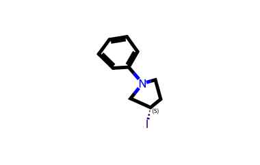 I[C@H]1CCN(c2ccccc2)C1